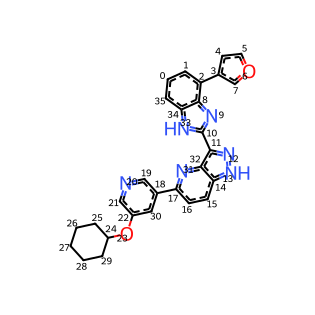 c1cc(-c2ccoc2)c2nc(-c3n[nH]c4ccc(-c5cncc(OC6CCCCC6)c5)nc34)[nH]c2c1